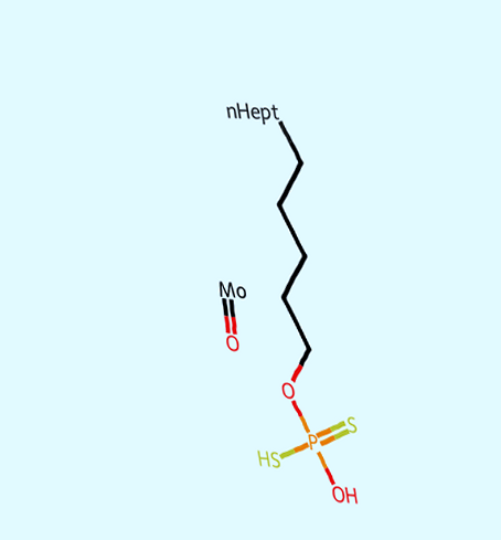 CCCCCCCCCCCCOP(O)(=S)S.[O]=[Mo]